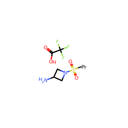 CC(C)S(=O)(=O)N1CC(N)C1.O=C(O)C(F)(F)F